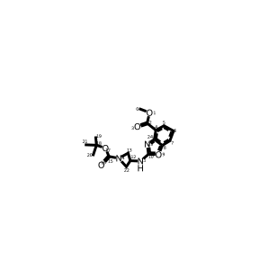 COC(=O)c1cccc2oc(NC3CN(C(=O)OC(C)(C)C)C3)nc12